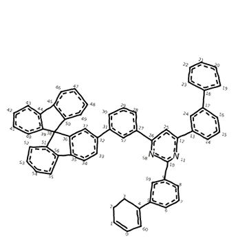 C1=CCCC(c2cccc(-c3nc(-c4cccc(-c5ccccc5)c4)cc(-c4cccc(-c5ccc6c(c5)C5(c7ccccc7-c7ccccc75)c5ccccc5-6)c4)n3)c2)=C1